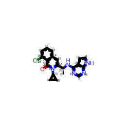 C[C@H](Nc1ncnc2[nH]ccc12)c1cc2cccc(Cl)c2c(=O)n1C1CC1